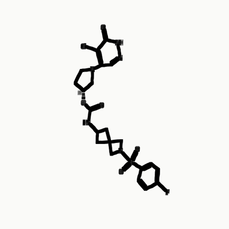 O=C(NC1CC2(C1)CN(S(=O)(=O)c1ccc(F)cc1)C2)O[C@@H]1CCN(c2cn[nH]c(=O)c2Cl)C1